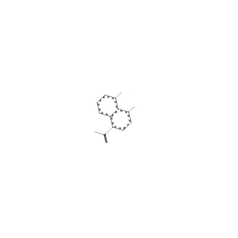 C=C(I)c1ccc(C)c2c(C)cccc12